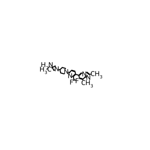 Cc1cn2cc(-c3ccc(N4CCC(N5CC(C)(N)C5)CC4)nc3C(F)F)cc(C)c2n1